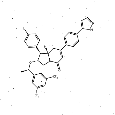 C[C@@H](O[C@H]1CN2C(=O)C=C(c3ccc(-c4ccn[nH]4)cc3)C[C@H]2[C@@H]1c1ccc(F)cc1)c1cc(C(F)(F)F)cc(C(F)(F)F)c1